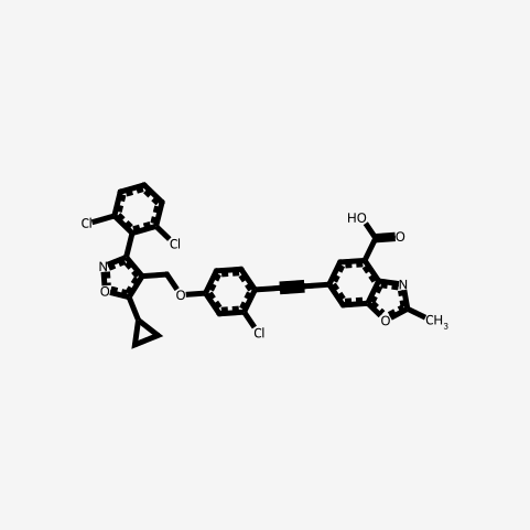 Cc1nc2c(C(=O)O)cc(C#Cc3ccc(OCc4c(-c5c(Cl)cccc5Cl)noc4C4CC4)cc3Cl)cc2o1